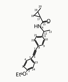 CCOc1ccc(C#Cc2ccc(C(C)NC(=O)C3CC3C)cc2)cc1